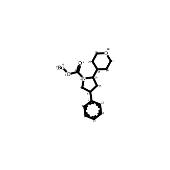 CC(C)(C)OC(=O)N1CC(c2ccccc2)[CH]C1C1CCOCC1